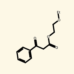 CCOCCOC(=O)CC(=O)c1ccccc1